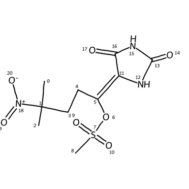 CC(C)(CC/C(OS(C)(=O)=O)=C1/NC(=O)NC1=O)[N+](=O)[O-]